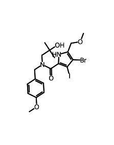 COCc1[nH]c(C(=O)N(Cc2ccc(OC)cc2)CC(C)(C)O)c(I)c1Br